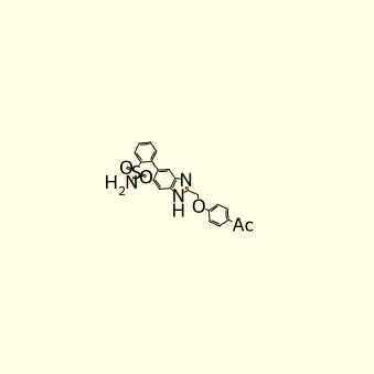 CC(=O)c1ccc(OCc2nc3cc(-c4ccccc4S(N)(=O)=O)ccc3[nH]2)cc1